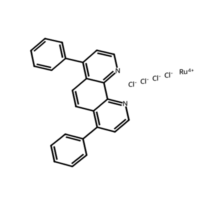 [Cl-].[Cl-].[Cl-].[Cl-].[Ru+4].c1ccc(-c2ccnc3c2ccc2c(-c4ccccc4)ccnc23)cc1